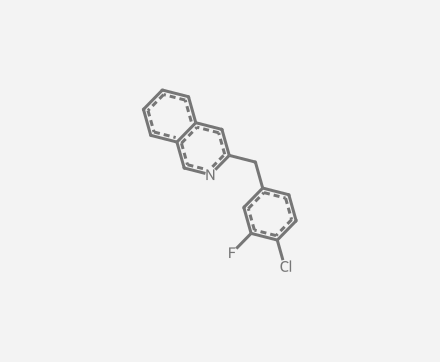 Fc1cc(Cc2cc3ccccc3cn2)ccc1Cl